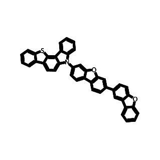 c1ccc2c(c1)oc1ccc(-c3ccc4c(c3)oc3cc(-n5c6ccccc6c6c7sc8ccccc8c7ccc65)ccc34)cc12